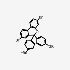 CC(C)(C)c1ccc(C2(c3ccc(C(C)(C)C)cc3)Oc3cc(Br)ccc3-c3ccc(Br)cc32)cc1